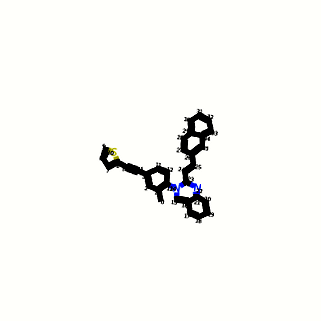 Cc1cc(C#Cc2cccs2)ccc1N1C=c2ccccc2=NC1C=Cc1ccc2ccccc2c1